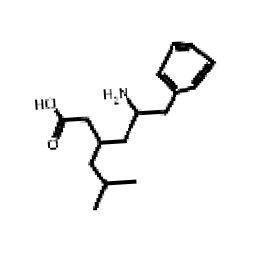 CC(C)CC(CC(=O)O)CC(N)Cc1ccccc1